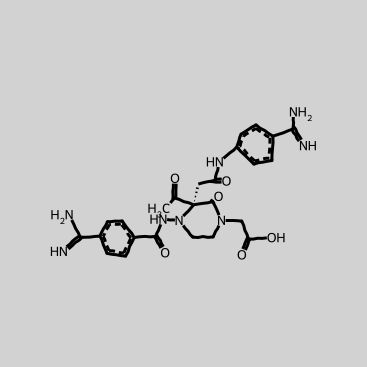 CC(=O)[C@@]1(CC(=O)Nc2ccc(C(=N)N)cc2)C(=O)N(CC(=O)O)CCN1NC(=O)c1ccc(C(=N)N)cc1